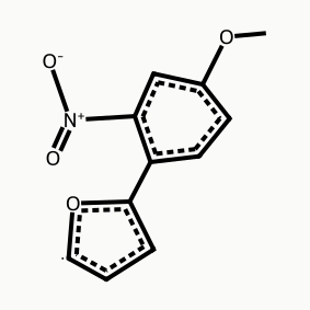 COc1ccc(-c2cc[c]o2)c([N+](=O)[O-])c1